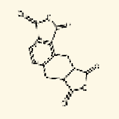 O=C1OC(=O)c2c1ccc1c2CC2C(=O)OC(=O)C2C1